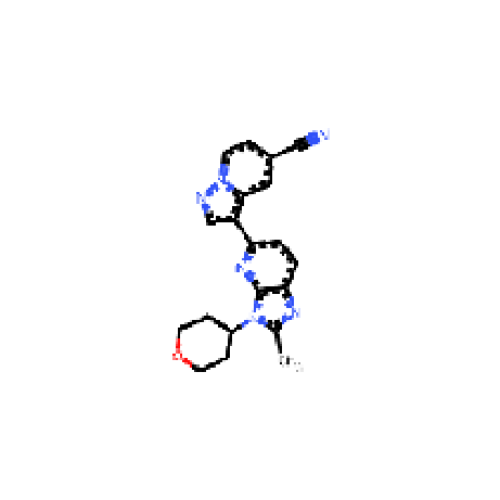 Cc1nc2ccc(-c3cnn4ccc(C#N)cc34)nc2n1C1CCOCC1